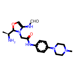 C[C@H](N)C1OC=C(NC=O)N1CC(=O)Nc1ccc(N2CCN(C)CC2)cc1